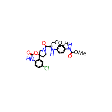 COC(=O)Nc1ccc(N[C@@H](CC(=O)O)C(=O)N2CCC3(C2)OC(=O)Nc2ccc(Cl)cc23)cc1